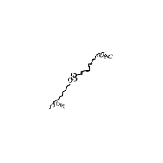 CCCCCCCCCCCCCCCCCCOOOCCCCCCCCCCCCCCCCCC